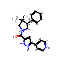 CC1(C)CN(C(=O)c2cc(-c3ccncc3)n[nH]2)CC1c1ccccc1